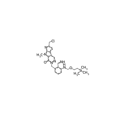 Cn1c2nc(CCl)sc2c2cnn(Cc3cccc(NCOCC[Si](C)(C)C)c3C=N)c(=O)c21